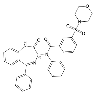 O=C1Nc2ccccc2C(c2ccccc2)=N[C@H]1N(C(=O)c1cccc(S(=O)(=O)N2CCOCC2)c1)c1ccccc1